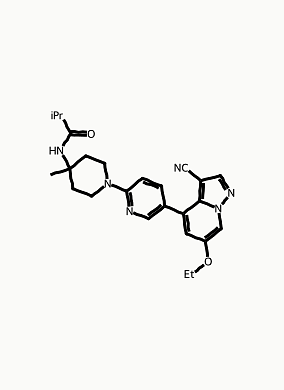 CCOc1cc(-c2ccc(N3CCC(C)(NC(=O)C(C)C)CC3)nc2)c2c(C#N)cnn2c1